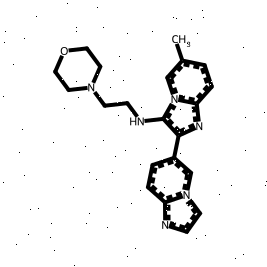 Cc1ccc2nc(-c3ccc4nccn4c3)c(NCCN3CCOCC3)n2c1